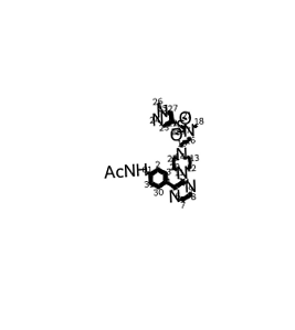 CC(=O)Nc1ccc(-c2nccnc2N2CCN(CCN(C)S(=O)(=O)c3cnn(C)c3)CC2)cc1